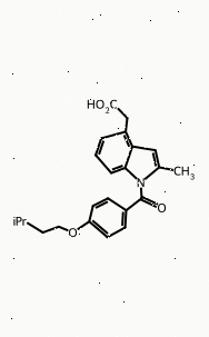 Cc1cc2c(CC(=O)O)cccc2n1C(=O)c1ccc(OCCC(C)C)cc1